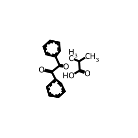 CC(C)C(=O)O.O=C(C(=O)c1ccccc1)c1ccccc1